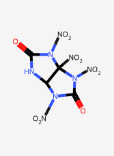 O=C1NC2N([N+](=O)[O-])C(=O)N([N+](=O)[O-])C2([N+](=O)[O-])N1[N+](=O)[O-]